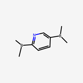 CB(C)c1ccc(B(C)C)nc1